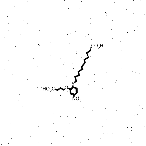 O=C(O)CCCCCCCCCCCCSc1ccc([N+](=O)[O-])cc1OCCCC(=O)O